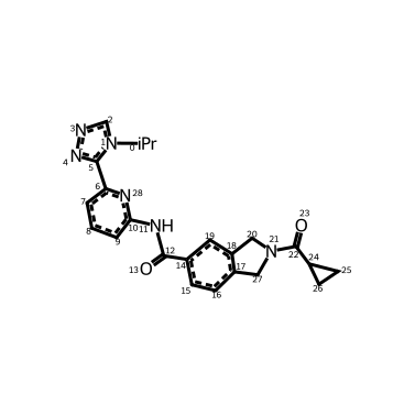 CC(C)n1cnnc1-c1cccc(NC(=O)c2ccc3c(c2)CN(C(=O)C2CC2)C3)n1